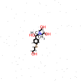 CC(C)(C(O)C1C=C[C@@H](SCCCO)CC1)N(CCO)CCO